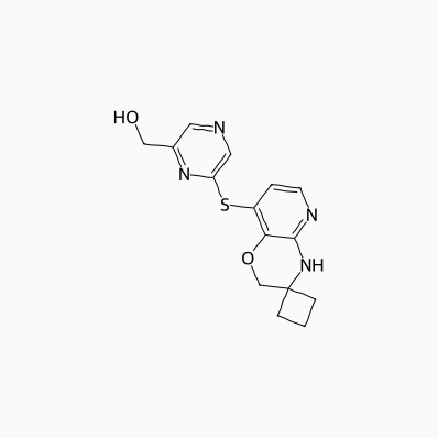 OCc1cncc(Sc2ccnc3c2OCC2(CCC2)N3)n1